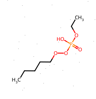 CCCCCOOP(=O)(O)OCC